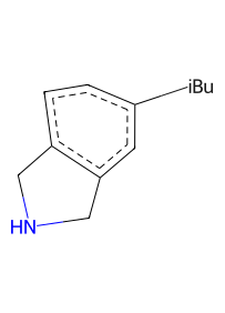 CCC(C)c1ccc2c(c1)CNC2